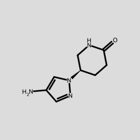 Nc1cnn([C@@H]2CCC(=O)NC2)c1